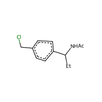 CCC(NC(C)=O)c1ccc(CCl)cc1